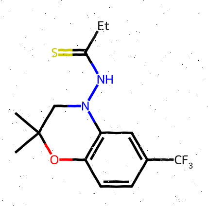 CCC(=S)NN1CC(C)(C)Oc2ccc(C(F)(F)F)cc21